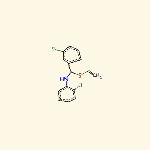 C=CSC(Nc1ccccc1Cl)c1cccc(F)c1